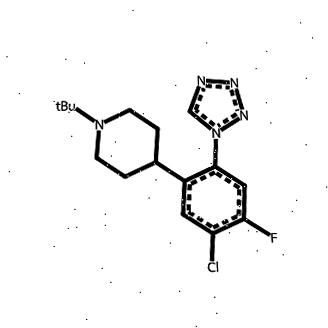 CC(C)(C)N1CCC(c2cc(Cl)c(F)cc2-n2cnnn2)CC1